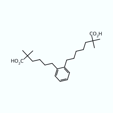 CC(C)(CCCCCc1ccccc1CCCCC(C)(C)C(=O)O)C(=O)O